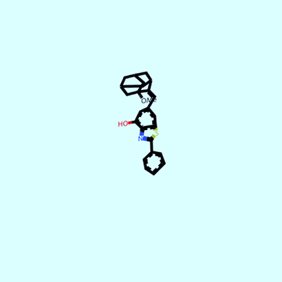 COC12CC3CC(CC(C3)C1=Cc1cc(O)c3nc(-c4ccccc4)sc3c1)C2